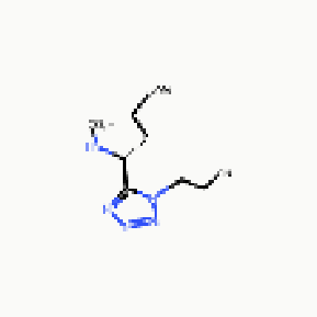 CSCC[C@@H](NC(=O)O)c1nnnn1CCC#N